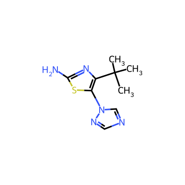 CC(C)(C)c1nc(N)sc1-n1cncn1